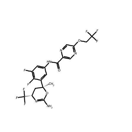 C[C@@]1(c2cc(NC(=O)c3cnc(OCC(F)(F)F)cn3)cc(F)c2F)C[C@@H](C(F)(F)F)N=C(N)O1